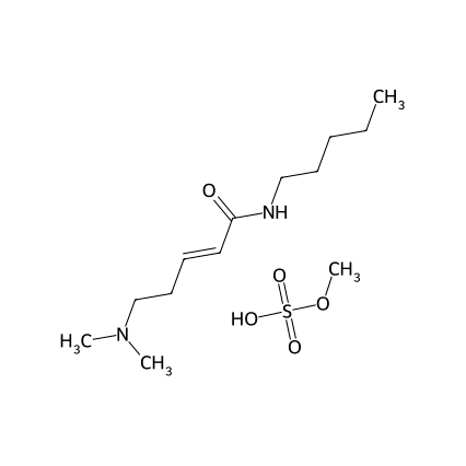 CCCCCNC(=O)C=CCCN(C)C.COS(=O)(=O)O